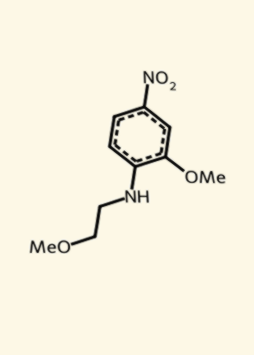 COCCNc1ccc([N+](=O)[O-])cc1OC